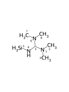 CN(C)C(N[SiH3])N(C)C